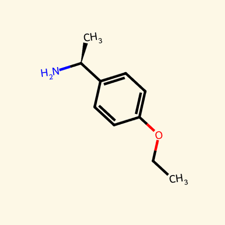 CCOc1ccc([C@H](C)N)cc1